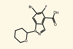 O=C(O)c1c(F)c(Br)cc2c1cnn2C1CCCCO1